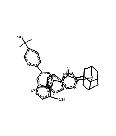 COc1ccc(C(=O)NC23CC4CC(C2)N(c2cnc(-c5cc(-c6ccc(C(C)(C)O)cn6)cn6ncc(C#N)c56)cn2)C(C4)C3)cn1